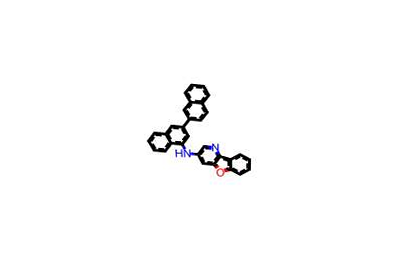 c1ccc2cc(-c3cc(Nc4cnc5c(c4)oc4ccccc45)c4ccccc4c3)ccc2c1